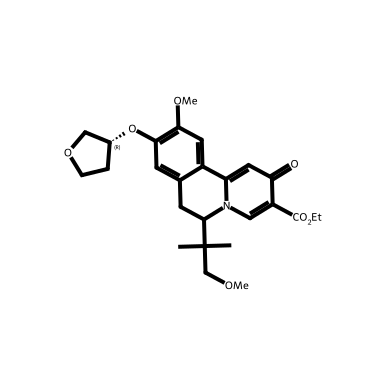 CCOC(=O)c1cn2c(cc1=O)-c1cc(OC)c(O[C@@H]3CCOC3)cc1CC2C(C)(C)COC